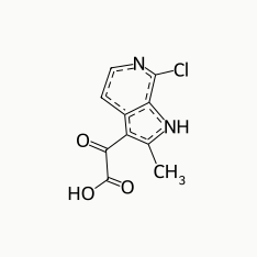 Cc1[nH]c2c(Cl)nccc2c1C(=O)C(=O)O